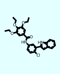 CCOc1cc(C(=O)Nc2ccc(Cl)c(-c3cc4ccccc4[nH]3)c2)cc(OCC)c1OCC